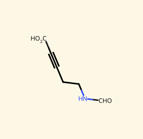 O=CNCCC#CC(=O)O